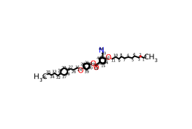 CCCCCCCCCCCCOc1ccc(C(=O)Oc2ccc(OCCCC3CCC(CCCCC)CC3)cc2)cc1C#N